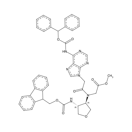 COC(=O)CN(C(=O)Cn1cnc2c(NC(=O)OC(c3ccccc3)c3ccccc3)ncnc21)[C@H]1COC[C@@H]1NC(=O)OCC1c2ccccc2-c2ccccc21